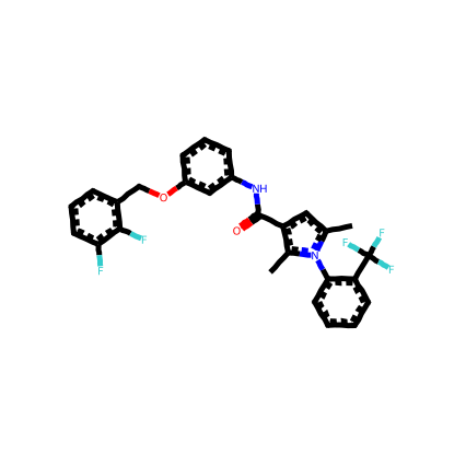 Cc1cc(C(=O)Nc2cccc(OCc3cccc(F)c3F)c2)c(C)n1-c1ccccc1C(F)(F)F